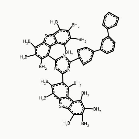 Bc1c(B)c(B)c2c(sc3c(B)c(B)c(-c4nc(-c5ccc(-c6cccc(-c7ccccc7)c6)cc5)nc(-c5c(B)c(B)c(B)c6sc7c(B)c(B)c(B)c(B)c7c56)n4)c(B)c32)c1B